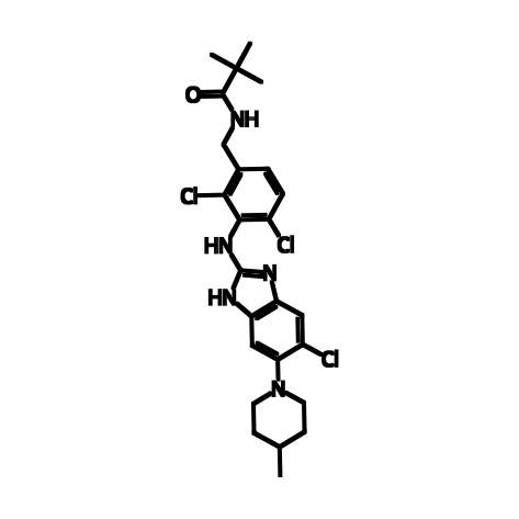 CC1CCN(c2cc3[nH]c(Nc4c(Cl)ccc(CNC(=O)C(C)(C)C)c4Cl)nc3cc2Cl)CC1